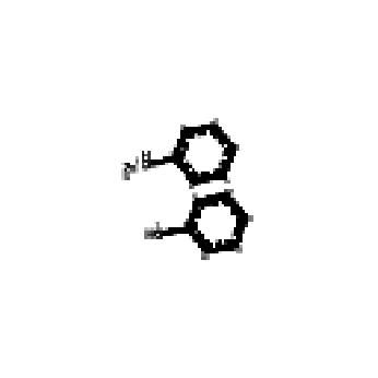 Oc1ccccc1.Oc1ccccc1.[Zn]